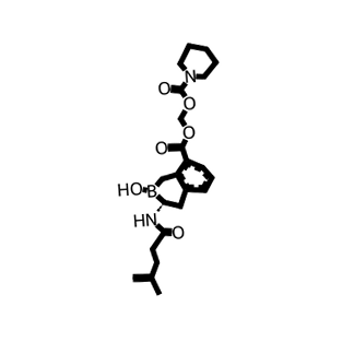 C=C(C)CCC(=O)N[C@H]1Cc2cccc(C(=O)OCOC(=O)N3CCCCC3)c2CB1O